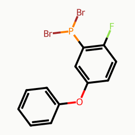 Fc1ccc(Oc2ccccc2)cc1P(Br)Br